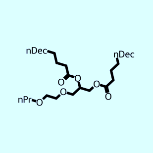 CCCCCCCCCCCCCC(=O)OCC(COCCOCCC)OC(=O)CCCCCCCCCCCCC